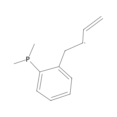 C=C[CH]Cc1ccccc1P(C)C